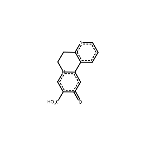 O=C(O)c1cn2c(cc1=O)-c1cccnc1CC2